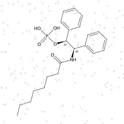 CCCCCCCC(=O)N[C@H](c1ccccc1)[C@@H](OP(=O)(O)O)c1ccccc1